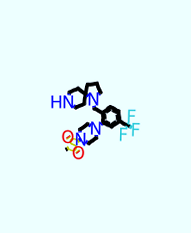 CS(=O)(=O)N1CCN(c2cc(C(F)(F)F)ccc2CN2CCCC23CCNCC3)CC1